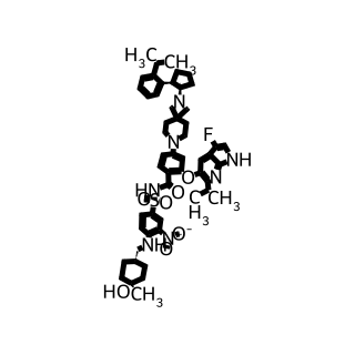 CC(C)c1ccccc1[C@H]1CCC[C@H]1N1CC2(CCN(c3ccc(C(=O)NS(=O)(=O)c4ccc(NC[C@H]5CC[C@](C)(O)CC5)c([N+](=O)[O-])c4)c(Oc4cc5c(F)c[nH]c5nc4C(C)C)c3)CC2)C1